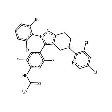 CCc1cccc(CC)c1-n1nc2c(c1-c1cc(F)c(NC(N)=O)cc1F)CN(c1ncc(Cl)cc1Cl)CC2